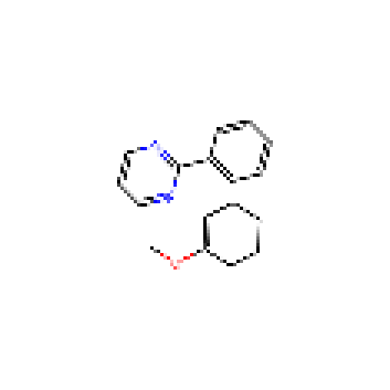 COC1=CCCCC1.c1ccc(-c2ncccn2)cc1